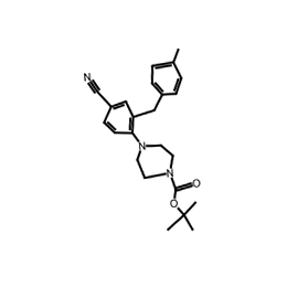 Cc1ccc(Cc2cc(C#N)ccc2N2CCN(C(=O)OC(C)(C)C)CC2)cc1